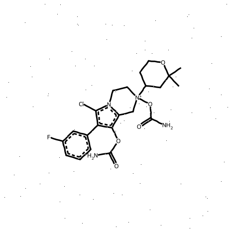 CC1(C)CC([N+]2(OC(N)=O)CCn3c(Cl)c(-c4cccc(F)c4)c(OC(N)=O)c3C2)CCO1